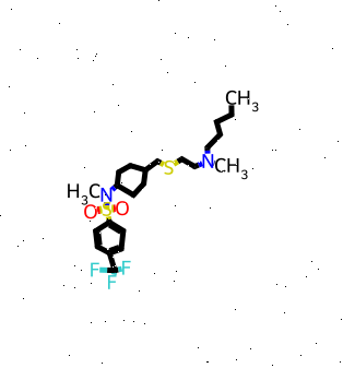 CCCCCN(C)CCSCC1CCC(N(C)S(=O)(=O)c2ccc(C(F)(F)F)cc2)CC1